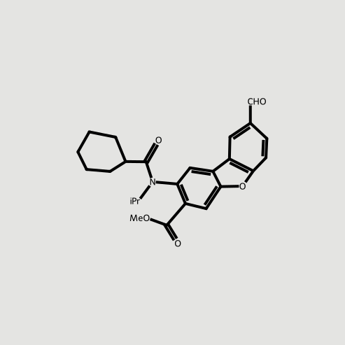 COC(=O)c1cc2oc3ccc(C=O)cc3c2cc1N(C(=O)C1CCCCC1)C(C)C